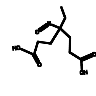 CCC(CCC(=O)O)(CCC(=O)O)N=O